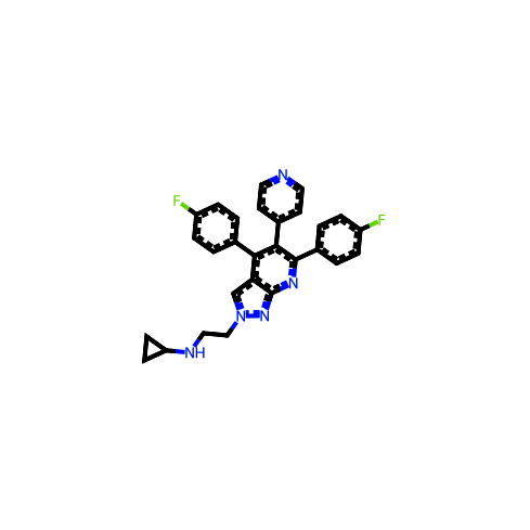 Fc1ccc(-c2nc3nn(CCNC4CC4)cc3c(-c3ccc(F)cc3)c2-c2ccncc2)cc1